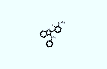 COc1cccc(-c2nc3ccccn3c2Nc2ccccc2)c1F